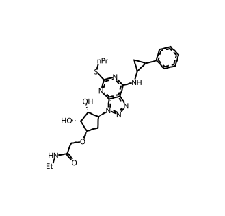 CCCSc1nc(NC2CC2c2ccccc2)c2nnn([C@H]3C[C@@H](OCC(=O)NCC)[C@H](O)[C@@H]3O)c2n1